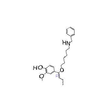 CC/C=C(\OCCCCCCNCc1ccccc1)c1ccc(O)c(OC)c1